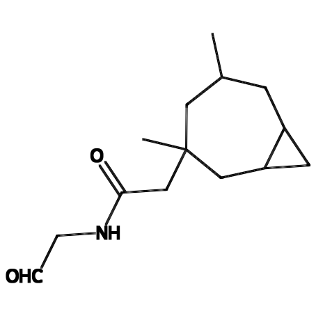 CC1CC2CC2CC(C)(CC(=O)NCC=O)C1